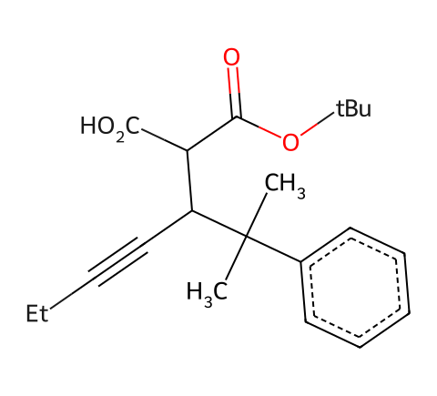 CCC#CC(C(C(=O)O)C(=O)OC(C)(C)C)C(C)(C)c1ccccc1